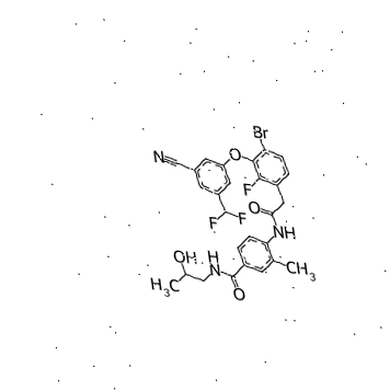 Cc1cc(C(=O)NCC(C)O)ccc1NC(=O)Cc1ccc(Br)c(Oc2cc(C#N)cc(C(F)F)c2)c1F